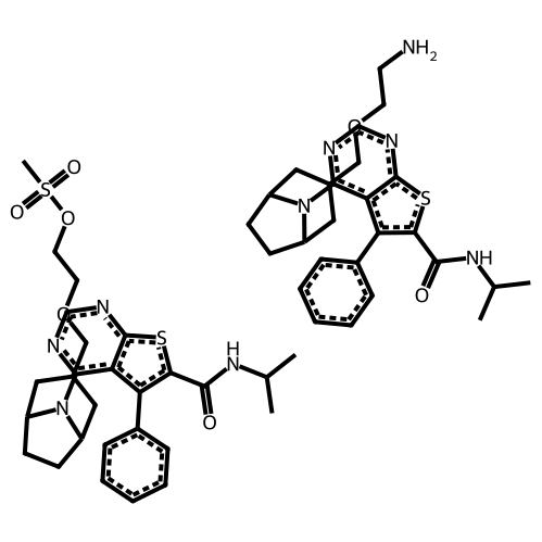 CC(C)NC(=O)c1sc2ncnc(N3C4CCC3CC(COCCN)C4)c2c1-c1ccccc1.CC(C)NC(=O)c1sc2ncnc(N3C4CCC3CC(COCCOS(C)(=O)=O)C4)c2c1-c1ccccc1